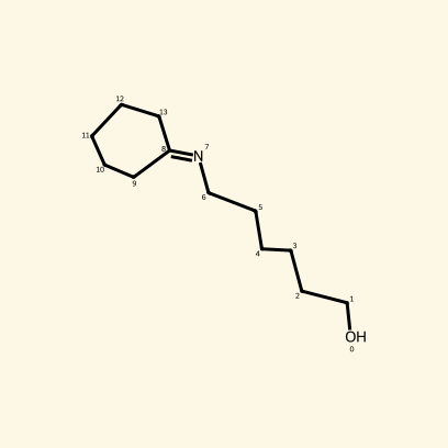 OCCCCCCN=C1CCCCC1